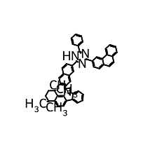 CC1(C)CCC(C)(C)c2c1ccc1c3ccccc3n(-c3ccc4ccc(C5N=C(c6ccc7ccc8ccccc8c7c6)N=C(c6ccccc6)N5)cc4c3)c21